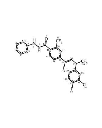 O=C(NNc1ncccn1)c1ccc(/C(F)=C/C(c2ccc(F)c(Cl)c2)C(F)(F)F)cc1C(F)(F)F